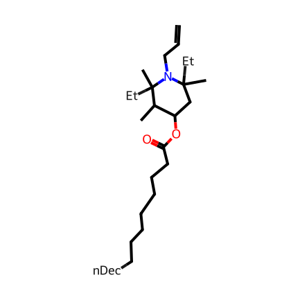 C=CCN1C(C)(CC)CC(OC(=O)CCCCCCCCCCCCCCCCC)C(C)C1(C)CC